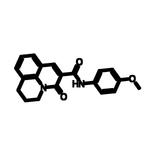 COc1ccc(NC(=O)c2cc3cccc4c3n(c2=O)CCC4)cc1